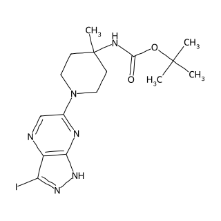 CC1(NC(=O)OC(C)(C)C)CCN(c2cnc3c(I)n[nH]c3n2)CC1